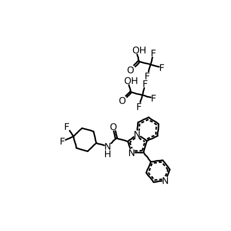 O=C(NC1CCC(F)(F)CC1)c1nc(-c2ccncc2)c2ccccn12.O=C(O)C(F)(F)F.O=C(O)C(F)(F)F